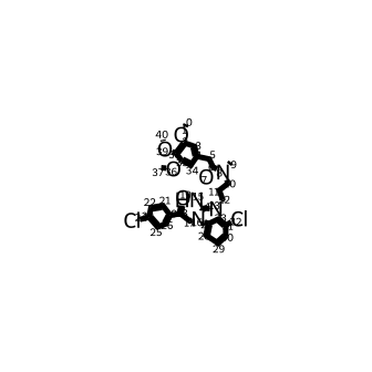 COc1cc(CC(=O)N(C)CCCn2c(=N)n(CC(=O)c3ccc(Cl)cc3)c3cccc(Cl)c32)cc(OC)c1OC